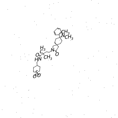 CN(C)[C@]1(c2ccccc2)CC[C@@]2(CC1)CC(=O)N(CCC(C)(C)C(=O)NCC1CCS(=O)(=O)CC1)C2